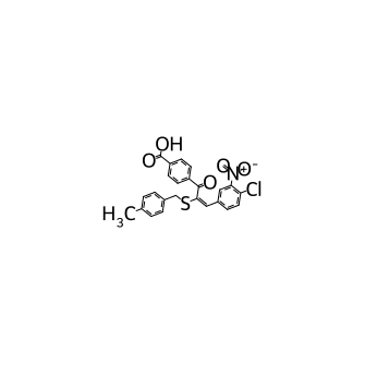 Cc1ccc(CSC(=Cc2ccc(Cl)c([N+](=O)[O-])c2)C(=O)c2ccc(C(=O)O)cc2)cc1